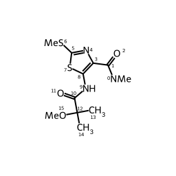 CNC(=O)c1nc(SC)sc1NC(=O)C(C)(C)OC